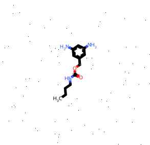 CCCCNC(=O)OCc1cc(N)cc(N)c1